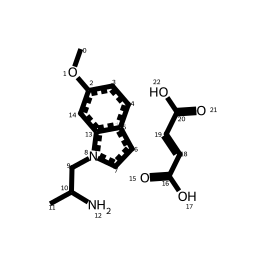 COc1ccc2ccn(CC(C)N)c2c1.O=C(O)C=CC(=O)O